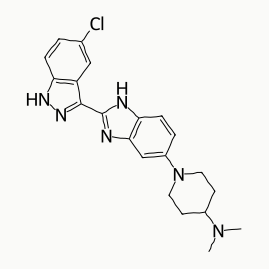 CN(C)C1CCN(c2ccc3[nH]c(-c4n[nH]c5ccc(Cl)cc45)nc3c2)CC1